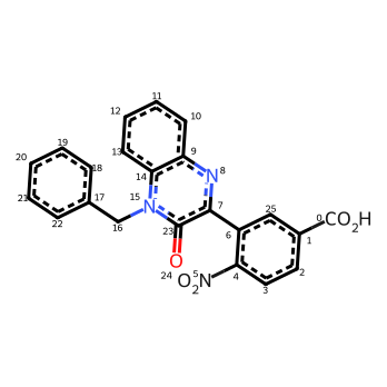 O=C(O)c1ccc([N+](=O)[O-])c(-c2nc3ccccc3n(Cc3ccccc3)c2=O)c1